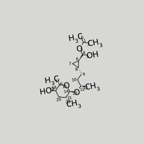 CC(C)OC(O)[C@@H]1C[C@H]1CC[C@@H](C)O[C@@H]1O[C@@H](C)[C@H](O)C[C@H]1C